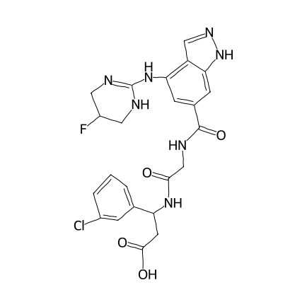 O=C(O)CC(NC(=O)CNC(=O)c1cc(NC2=NCC(F)CN2)c2cn[nH]c2c1)c1cccc(Cl)c1